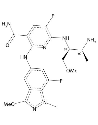 COC[C@@H](Nc1nc(Nc2cc(F)c3c(c2)c(OC)nn3C)c(C(N)=O)cc1F)[C@H](C)N